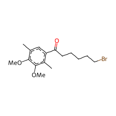 COc1c(C)cc(C(=O)CCCCCBr)c(C)c1OC